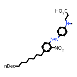 CCCCCCCCCCCCCCCCCc1ccc(/N=N/c2ccc(N(C)CCC(=O)O)cc2)c([N+](=O)[O-])c1